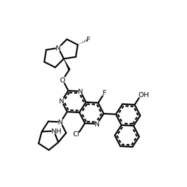 Oc1cc(-c2nc(Cl)c3c(N4CC5CCC(C4)N5)nc(OC[C@@]45CCCN4C[C@H](F)C5)nc3c2F)c2ccccc2c1